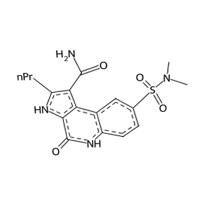 CCCc1[nH]c2c(=O)[nH]c3ccc(S(=O)(=O)N(C)C)cc3c2c1C(N)=O